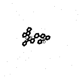 O=P(c1ccccc1)(c1ccccc1)c1cccc(-c2cccc(-c3cccc4c3nc(-c3cc5ccccc5c5ccccc35)c3sc5ccccc5c34)c2)c1